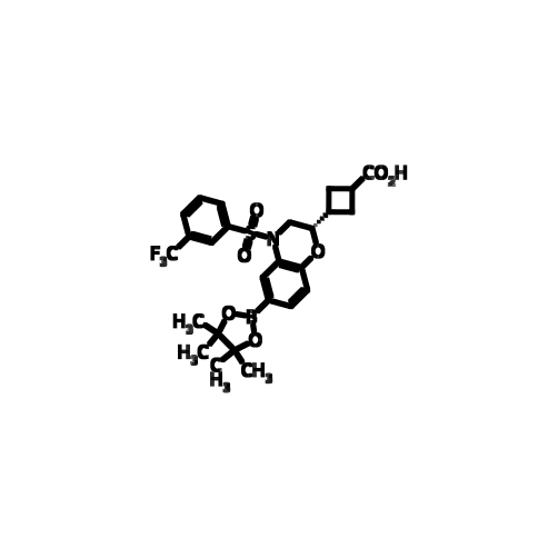 CC1(C)OB(c2ccc3c(c2)N(S(=O)(=O)c2cccc(C(F)(F)F)c2)C[C@H](C2CC(C(=O)O)C2)O3)OC1(C)C